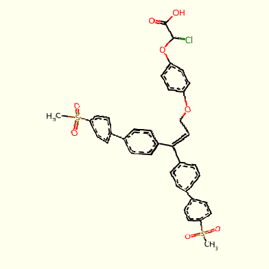 CS(=O)(=O)c1ccc(-c2ccc(C(=CCOc3ccc(OC(Cl)C(=O)O)cc3)c3ccc(-c4ccc(S(C)(=O)=O)cc4)cc3)cc2)cc1